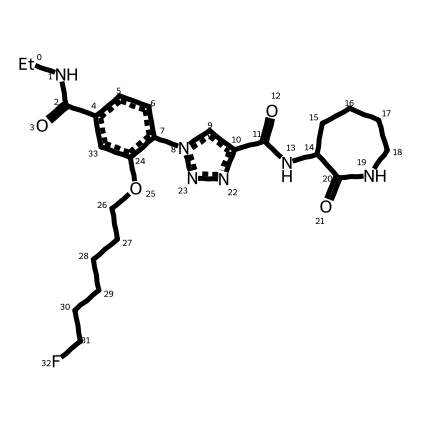 CCNC(=O)c1ccc(-n2cc(C(=O)NC3CCCCNC3=O)nn2)c(OCCCCCCF)c1